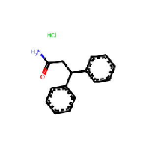 Cl.NC(=O)CC(c1ccccc1)c1ccccc1